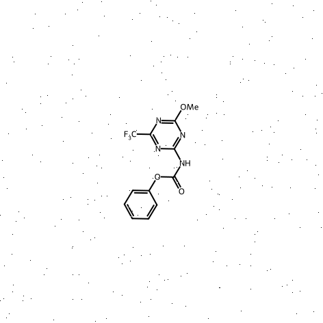 COc1nc(NC(=O)Oc2ccccc2)nc(C(F)(F)F)n1